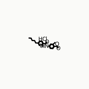 CCCCCc1ccc(C(=O)Nc2ccc3c(c2)COC3=O)nc1.Cl